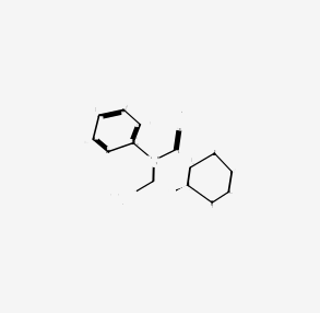 O=C(O)CN(C(=O)[C@@H]1CCCC[C@H]1S)c1ccccc1